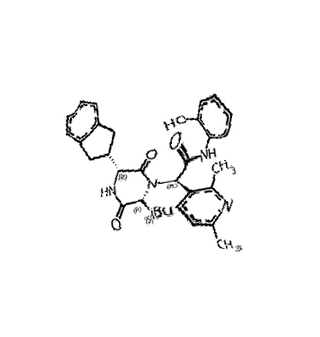 CC[C@H](C)[C@@H]1C(=O)N[C@H](C2Cc3ccccc3C2)C(=O)N1[C@@H](C(=O)Nc1ccccc1O)c1ccc(C)nc1C